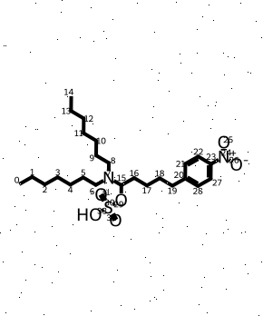 CCCCCCCN(CCCCCCC)C(CCCCc1ccc([N+](=O)[O-])cc1)OS(=O)(=O)O